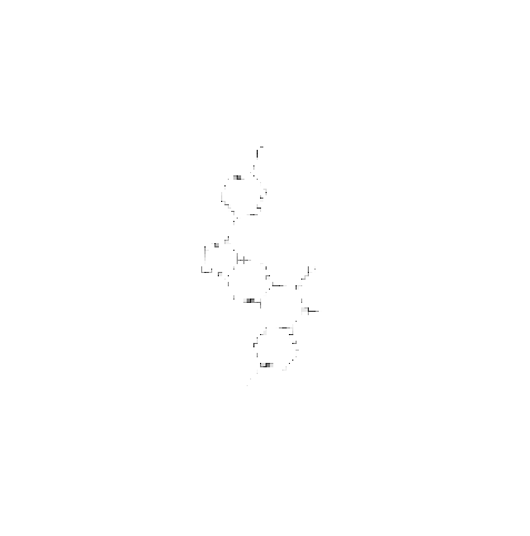 CN(C(=O)c1cn2c(-c3ccc(Cl)cc3)cnc2cn1)c1ccc(F)cc1